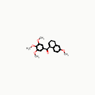 COc1ccc2c(c1)CCC=C2C(=O)c1cc(OC)c(OC)c(OC)c1